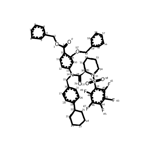 O=C(OCc1ccccc1)c1ccc(N(Cc2ccc(C3CCCCC3)cc2)C(=O)[C@H]2CCCCN2S(=O)(=O)c2c(F)c(F)c(F)c(F)c2F)cc1OCc1ccccc1